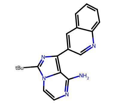 CC(C)(C)c1nc(-c2cnc3ccccc3c2)c2c(N)nccn12